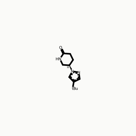 CC(C)(C)c1cnn([C@@H]2CCC(=O)NC2)c1